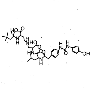 CC(C)CC(NC(=O)Cc1ccc(NC(=O)Nc2ccc(O)cc2)cc1)C(=O)NC(CNCCC(NC(=O)CC(C)(C)C)C(=O)O)C(=O)O